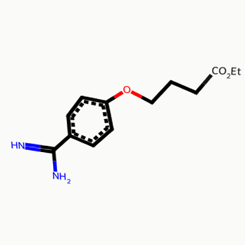 CCOC(=O)CCCOc1ccc(C(=N)N)cc1